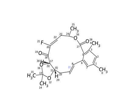 Cc1cc(C)c2c(c1)/C=C/C[C@@H]1OC(C)(C)O[C@@H]1C(=O)C(F)=CCC(C)OC2=O